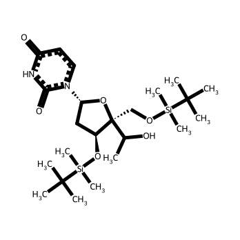 CC(O)[C@]1(CO[Si](C)(C)C(C)(C)C)O[C@@H](n2ccc(=O)[nH]c2=O)C[C@@H]1O[Si](C)(C)C(C)(C)C